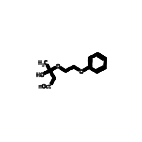 CCCCCCCCCC(C)(O)OCCOc1ccccc1